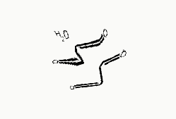 O.O=CC=O.O=CC=O